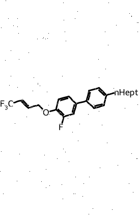 CCCCCCCc1ccc(-c2ccc(OC/C=C/C(F)(F)F)c(F)c2)cc1